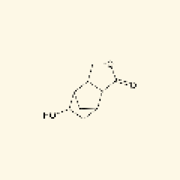 O=C1OCC2C3CC(CC3O)C12